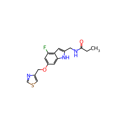 CCC(=O)NCc1cc2c(F)cc(OCc3cscn3)cc2[nH]1